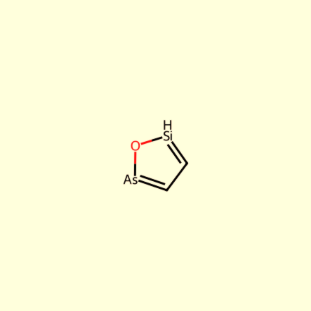 C1=[SiH]O[As]=C1